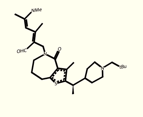 CN/C(C)=C\C(C)=C(/C=O)CN1CCCc2sc([C@H](C)C3CCN(CC(C)(C)C)CC3)c(C)c2C1=O